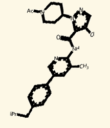 CC(=O)N1CCC(n2ncc(Cl)c2C(=O)Nc2ncc(-c3ccc(CC(C)C)cc3)cc2C)CC1